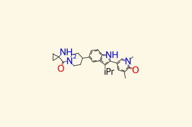 Cc1cc(-c2[nH]c3ccc(C4CCN(C(=O)C5(N)CC5)CC4)cc3c2C(C)C)cn(C)c1=O